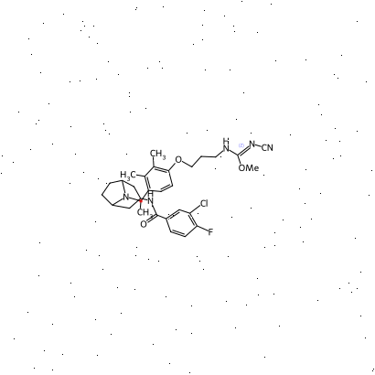 CO/C(=N\C#N)NCCCOc1ccc(C(C)N2C3CCC2CC(NC(=O)c2ccc(F)c(Cl)c2)C3)c(C)c1C